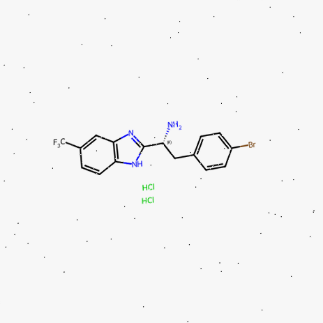 Cl.Cl.N[C@H](Cc1ccc(Br)cc1)c1nc2cc(C(F)(F)F)ccc2[nH]1